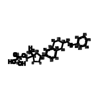 N[C@]1(COP(=O)(O)O)CC[C@H](c2ccc3c(c2)CCC(CSc2ccccc2)C3)C1